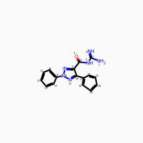 N=C(N)NC(=O)c1nn(-c2ccccc2)nc1-c1ccccc1